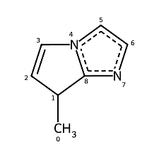 CC1C=Cn2ccnc21